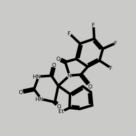 CCc1ccccc1C1(N2C(=O)c3c(F)c(F)c(F)c(F)c3C2=O)C(=O)NC(=O)NC1=O